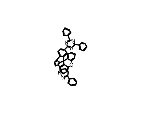 c1ccc(-c2ccc(-c3cccc4c3C3(c5ccccc5Oc5ccccc53)c3cc(-c5nc(-c6ccccc6)nc(-c6ccccc6)n5)ccc3-4)nn2)cc1